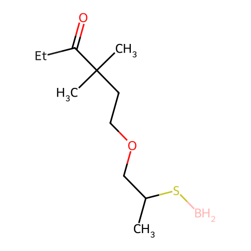 BSC(C)COCCC(C)(C)C(=O)CC